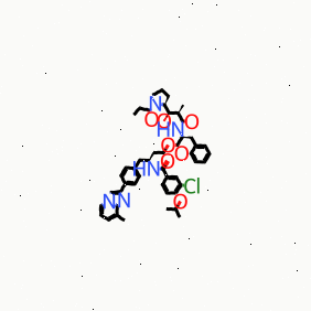 CCC(=O)N1CCC[C@H]1[C@H](OC)[C@@H](C)C(=O)N[C@@H](Cc1ccccc1)C(=O)OCC[C@H](Cc1ccc(-c2cn3cccc(C)c3n2)cc1)NC(=O)c1ccc(OC(C)C)c(Cl)c1